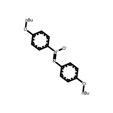 CCCCOc1ccc(N=[N+]([O-])c2ccc(OCCCC)cc2)cc1